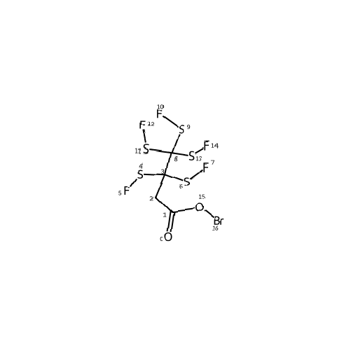 O=C(CC(SF)(SF)C(SF)(SF)SF)OBr